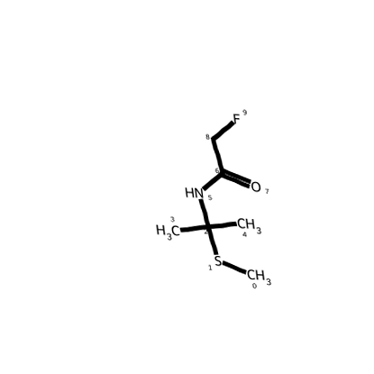 CSC(C)(C)NC(=O)CF